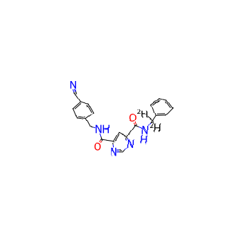 [2H]C([2H])(NC(=O)c1cc(C(=O)NCc2ccc(C#N)cc2)ncn1)c1ccccc1